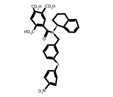 O=C(O)c1cc(C(=O)O)c(C(=O)N(Cc2cccc(Sc3ccc([N+](=O)[O-])cc3)c2)[C@H]2CCCc3ccccc32)cc1C(=O)O